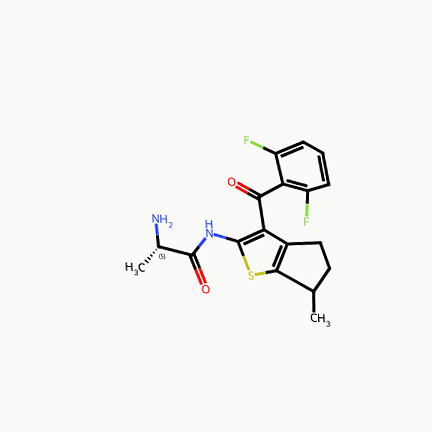 CC1CCc2c1sc(NC(=O)[C@H](C)N)c2C(=O)c1c(F)cccc1F